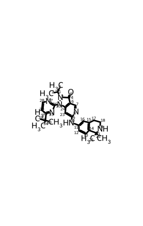 CC(C)n1c(=O)c2cnc(Nc3ccc4c(c3)CCNC4(C)C)cc2n1-c1nccc(C(C)(C)C)n1